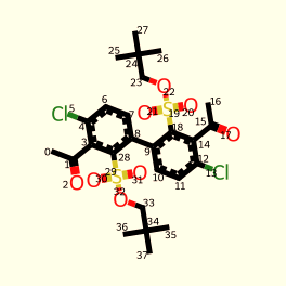 CC(=O)c1c(Cl)ccc(-c2ccc(Cl)c(C(C)=O)c2S(=O)(=O)OCC(C)(C)C)c1S(=O)(=O)OCC(C)(C)C